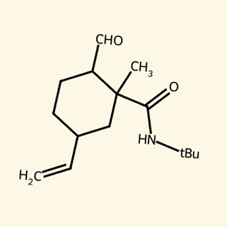 C=CC1CCC(C=O)C(C)(C(=O)NC(C)(C)C)C1